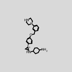 NC1CCC(N[C@@H]2C[C@H]2c2ccc(OCc3cccc(N4CCNCC4)c3)cc2)CC1